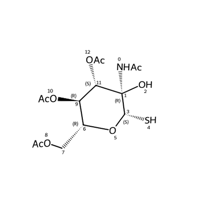 CC(=O)N[C@]1(O)[C@H](S)O[C@H](COC(C)=O)[C@@H](OC(C)=O)[C@@H]1OC(C)=O